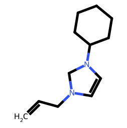 C=CCN1C=CN(C2CCCCC2)C1